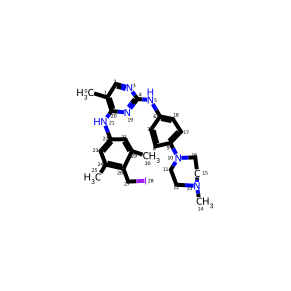 Cc1cnc(Nc2ccc(N3CCN(C)CC3)cc2)nc1Nc1cc(C)c(CI)c(C)c1